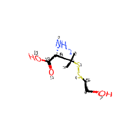 CC(C)(SSCCO)[C@@H](N)C(=O)O